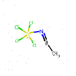 C/B=N/[SH](Cl)(Cl)(Cl)Cl